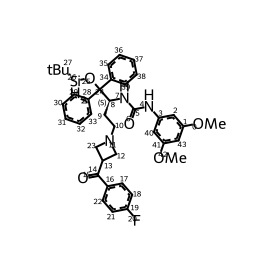 COc1cc(NC(=O)N[C@@H](CCN2CC(C(=O)c3ccc(F)cc3)C2)C(O[SiH2]C(C)(C)C)(c2ccccc2)c2ccccc2)cc(OC)c1